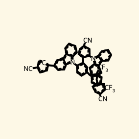 N#Cc1ccc(-c2ccc3c(c2)c2ccccc2n3-c2ccc(-c3ccc(C(F)(F)F)cc3C(F)(F)F)cc2-c2ccc(C#N)cc2-n2c3ccccc3c3cc(-c4ccc(C#N)cc4)ccc32)cc1